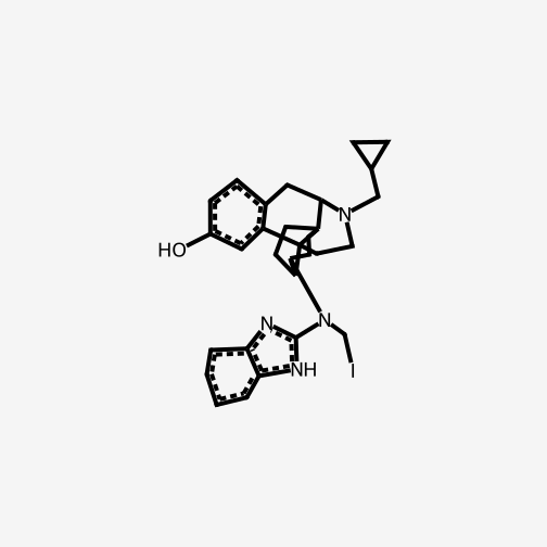 Oc1ccc2c(c1)C13CCN(CC4CC4)C(C2)C12CCC(N(CI)c1nc4ccccc4[nH]1)C3CC2